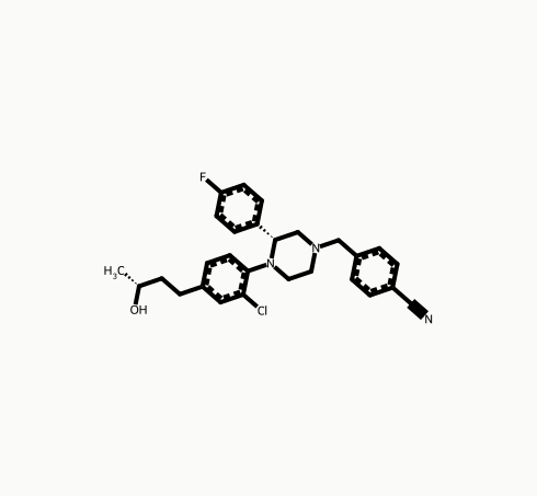 C[C@@H](O)CCc1ccc(N2CCN(Cc3ccc(C#N)cc3)C[C@H]2c2ccc(F)cc2)c(Cl)c1